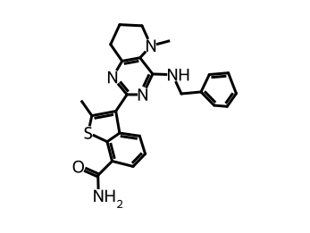 Cc1sc2c(C(N)=O)cccc2c1-c1nc2c(c(NCc3ccccc3)n1)N(C)CCC2